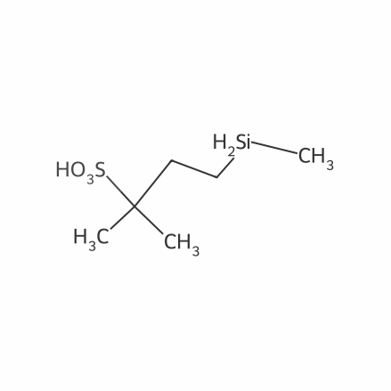 C[SiH2]CCC(C)(C)S(=O)(=O)O